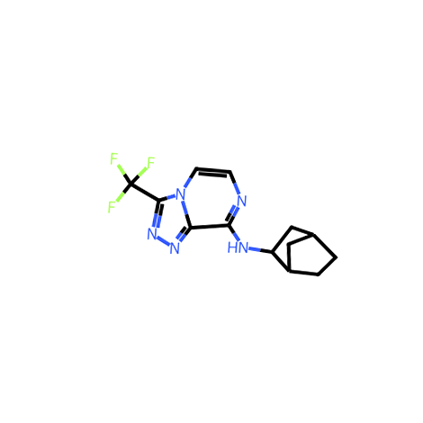 FC(F)(F)c1nnc2c(NC3CC4CCC3C4)nccn12